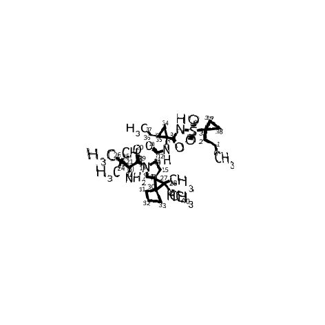 CCCC1(S(=O)(=O)NC(=O)[C@@]2(NC(=O)[C@@H]3C[C@@]4(CN3C(=O)[C@@H](N)C(C)(C)C)C(C)(C)C43CCC3)C[C@@H]2CC)CC1.Cl